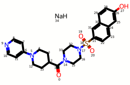 O=C(C1CCN(c2ccncc2)CC1)N1CCN(S(=O)(=O)c2ccc3cc(O)ccc3c2)CC1.[NaH]